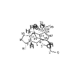 CCOC[C@@]12C[C@@H]3[C@H](C)CC[C@H]3[C@]3(C=O)C[C@@H]1C=C(C(C)C)[C@@]23C(=O)O